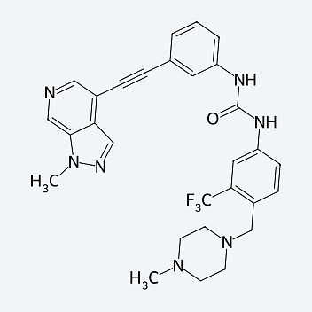 CN1CCN(Cc2ccc(NC(=O)Nc3cccc(C#Cc4cncc5c4cnn5C)c3)cc2C(F)(F)F)CC1